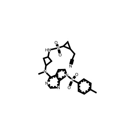 Cc1ccc(S(=O)(=O)n2ccc3c(N(C)C4CC(NS(=O)(=O)C5CC5CC#N)C4)ncnc32)cc1